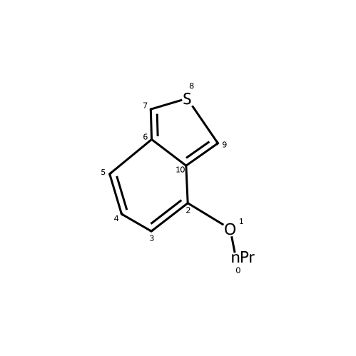 CCCOc1cccc2cscc12